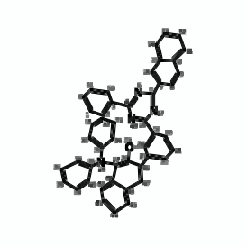 c1ccc(-c2nc(-c3ccc4ccccc4c3)nc(-c3cccc4c3oc3c(N(c5ccccc5)c5ccccc5)c5ccccc5cc34)n2)cc1